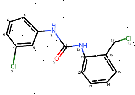 O=C(Nc1cccc(Cl)c1)Nc1ccccc1CCl